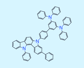 c1ccc(-c2ccc3c4c(ccc5c6ccccc6n(-c6ccccc6)c54)n(-c4ccc(-c5cc(N(c6ccccc6)c6ccccc6)cc(N(c6ccccc6)c6ccccc6)c5)cc4)c3c2)cc1